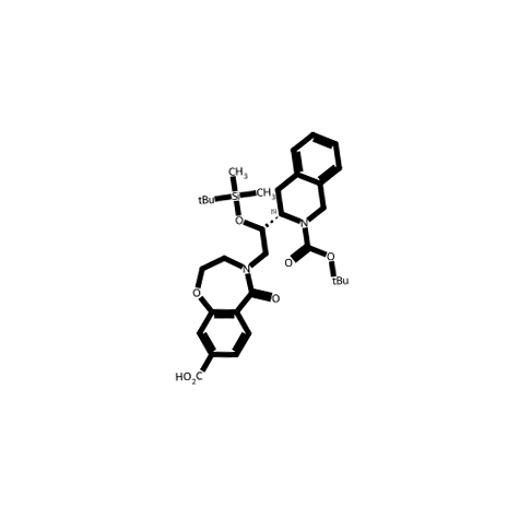 CC(C)(C)OC(=O)N1Cc2ccccc2C[C@H]1C(CN1CCOc2cc(C(=O)O)ccc2C1=O)O[Si](C)(C)C(C)(C)C